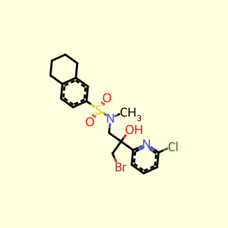 CN(CC(O)(CBr)c1cccc(Cl)n1)S(=O)(=O)c1ccc2c(c1)CCCC2